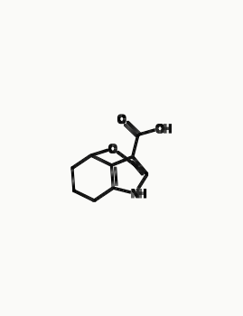 O=C(O)c1c2[nH]c3c1C(CCC3)O2